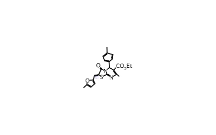 CCOC(=O)C1=C(C)N=c2s/c(=C\c3ccc(C)o3)c(=O)n2C1c1ccc(C)cc1